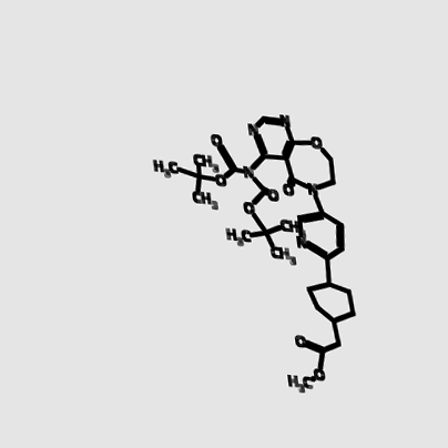 COC(=O)CC1CCC(c2ccc(N3CCOc4ncnc(N(C(=O)OC(C)(C)C)C(=O)OC(C)(C)C)c4C3=O)cn2)CC1